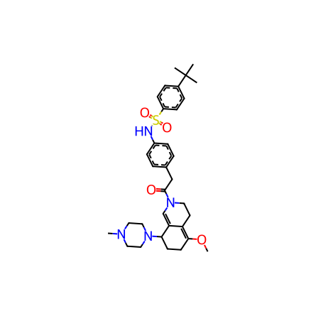 COC1=C2CCN(C(=O)Cc3ccc(NS(=O)(=O)c4ccc(C(C)(C)C)cc4)cc3)C=C2C(N2CCN(C)CC2)CC1